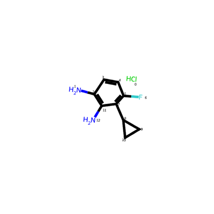 Cl.Nc1ccc(F)c(C2CC2)c1N